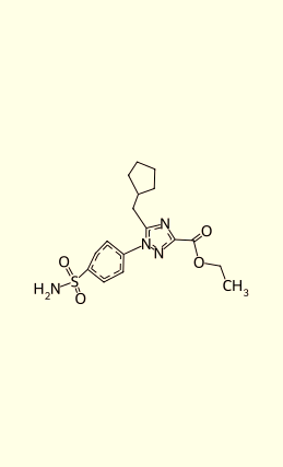 CCOC(=O)c1nc(CC2CCCC2)n(-c2ccc(S(N)(=O)=O)cc2)n1